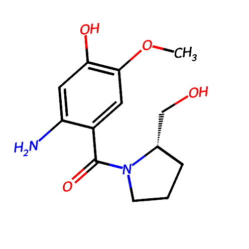 COc1cc(C(=O)N2CCC[C@H]2CO)c(N)cc1O